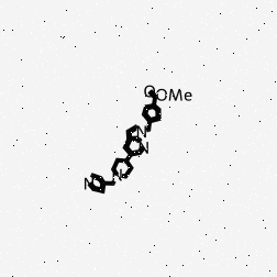 COC(=O)c1ccc(Cn2ccc3cc(C4CCN(Cc5ccncc5)CC4)cnc32)cc1